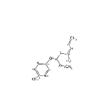 C=C/C=C(/Cl)CC(OC)Oc1cnc(Cl)nc1